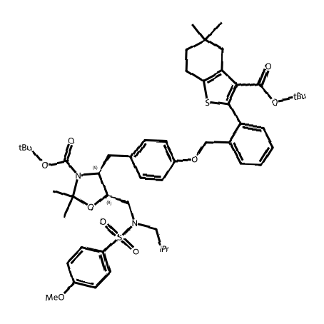 COc1ccc(S(=O)(=O)N(CC(C)C)C[C@H]2OC(C)(C)N(C(=O)OC(C)(C)C)[C@H]2Cc2ccc(OCc3ccccc3-c3sc4c(c3C(=O)OC(C)(C)C)CC(C)(C)CC4)cc2)cc1